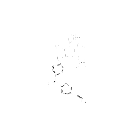 N#Cc1ccc(C(=O)c2ccc(O[C@@H]3O[C@H](CO)[C@@H](O)[C@H](O)[C@@H]3O)cc2)cc1